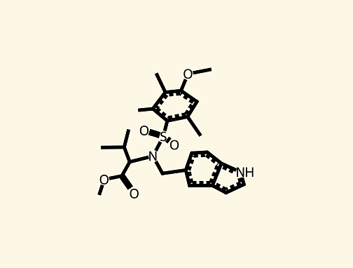 COC(=O)C(C(C)C)N(Cc1ccc2[nH]ccc2c1)S(=O)(=O)c1c(C)cc(OC)c(C)c1C